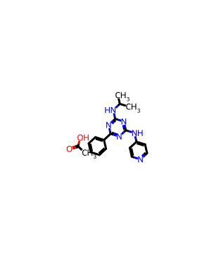 CC(=O)O.CC(C)Nc1nc(Nc2ccncc2)nc(-c2ccccc2)n1